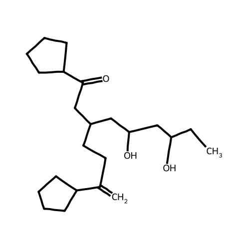 C=C(CCC(CC(=O)C1CCCC1)CC(O)CC(O)CC)C1CCCC1